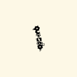 Cc1ccccc1Cc1csc(N2CCN(S(=O)(=O)c3ccc(F)cc3Cl)CC2)n1